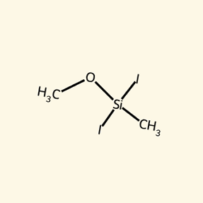 CO[Si](C)(I)I